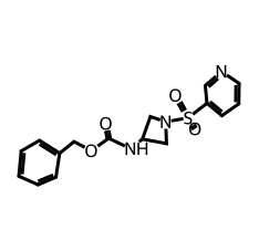 O=C(NC1CN(S(=O)(=O)c2cccnc2)C1)OCc1ccccc1